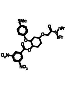 CCCN(CCC)C(=O)COC1CCC(OC(=O)c2cc([N+](=O)[O-])cc([N+](=O)[O-])c2)C(Oc2ccc(SC)cc2)C1